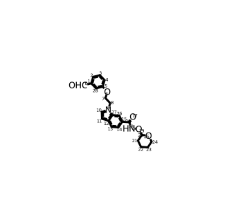 O=Cc1cccc(OCCn2ccc3ccc(C(=O)NOC4CCCCO4)cc32)c1